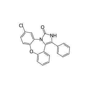 O=c1[nH]c(-c2ccccc2)c2n1-c1cc(Cl)ccc1Oc1ccccc1-2